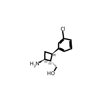 N[C@H]1C[C@@H](c2cccc(Cl)c2)[C@@H]1CO